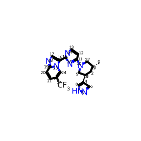 C[C@@H]1C[C@@H](c2cn[nH]c2)CN(c2ccnc(-c3cnc4ccc(C(F)(F)F)cn34)n2)C1